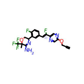 C#CCOc1cnc(/C(F)=C/c2ccc(F)c(C3COC(C)(C(F)(F)F)C(N)=N3)c2)cn1